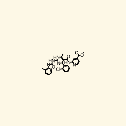 COC(=O)c1ccnc(NC(=O)C2=C(C)NC(Nc3nc4c(C)cccc4o3)=NC2c2ccccc2Cl)c1